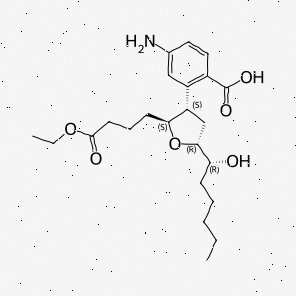 CCCCC[C@@H](O)[C@H]1C[C@@H](c2cc(N)ccc2C(=O)O)[C@H](CCCC(=O)OCC)O1